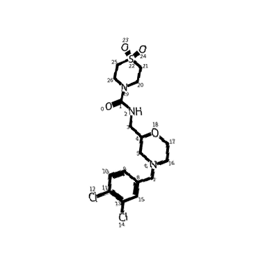 O=C(NCC1CN(Cc2ccc(Cl)c(Cl)c2)CCO1)N1CCS(=O)(=O)CC1